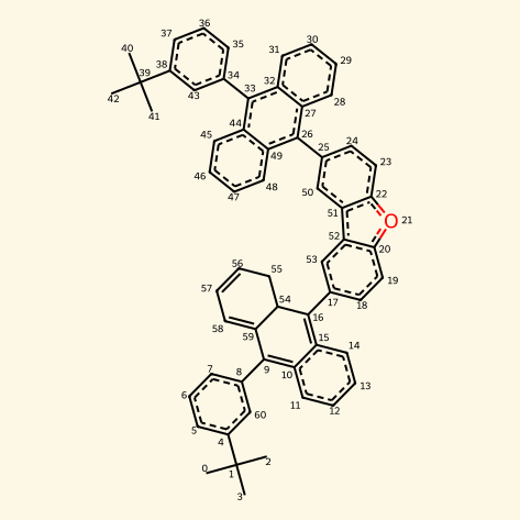 CC(C)(C)c1cccc(C2=c3ccccc3=C(c3ccc4oc5ccc(-c6c7ccccc7c(-c7cccc(C(C)(C)C)c7)c7ccccc67)cc5c4c3)C3CC=CC=C23)c1